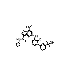 CNc1cc(Nc2cccn(-c3cccc(C(C)(C)O)n3)c2=O)nc2c(C(=O)NC3CCC3)cnn12